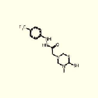 CN1CN(CC(=O)NNc2ccc(C(F)(F)F)cc2)CSC1S